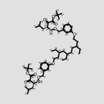 CCC(CCOc1cccc(CON[C@@H](CC(C)C)C(=O)C(=O)OC(C)(C)C)c1)CCC(CC)CC(CC)CCOc1cccc(CON[C@@H](CC(C)C)C(=O)C(=O)OC(C)(C)C)c1